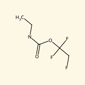 CC[N]C(=O)OC(F)(F)CF